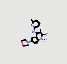 CCC1[C@H](C)C(Nc2cccc(C)n2)c2cc(N3CCOCC3)ccc2N1C(C)=O